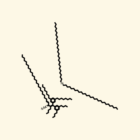 CCCCCCCCCCCCCCCCCCCCCCCCCC=CC(=C=[N+]=[N-])C(CCCC)=C(c1cc(CCCC)cc(CCCC)c1)c1cc(CCCCCCCC)cc(CCCCCCCC)c1.CCCCCCCCCCCCCCCCCCCCCCCCCCCC[CH2][Ni][CH2]CCCCCCCCCCCCCCCCCCCCCCCCCCCC